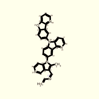 C=C/N=C\c1c(C)n(-c2ccc3c(c2)c2ncccc2n3-c2ccc3oc4cccnc4c3c2)c2ccncc12